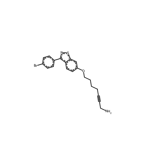 NCC#CCCCCOc1ccc2c(-c3ccc(Br)cc3)nsc2c1